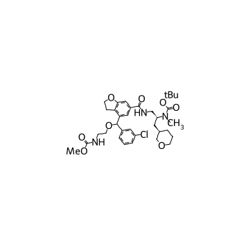 COC(=O)NCCOC(c1cccc(Cl)c1)c1cc(C(=O)NC[C@H](C[C@H]2CCCOC2)N(C)C(=O)OC(C)(C)C)cc2c1CCO2